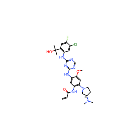 C=CC(=O)Nc1cc(Nc2ncnc(Nc3cc(Cl)c(F)cc3C(C)(C)O)n2)c(OC)cc1N1CC[C@@H](N(C)C)C1